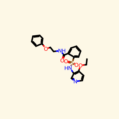 CCOc1ccncc1NS(=O)(=O)c1ccccc1C(=O)NCCOc1ccccc1